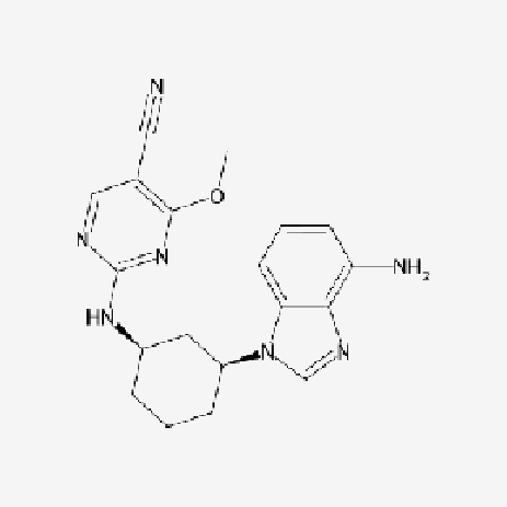 COc1nc(N[C@@H]2CCC[C@H](n3cnc4c(N)cccc43)C2)ncc1C#N